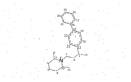 CC(CCN1C(C)CCCC1C)c1ccc(-c2ccccc2)cc1